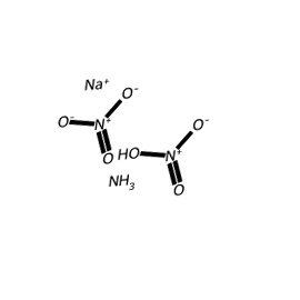 N.O=[N+]([O-])O.O=[N+]([O-])[O-].[Na+]